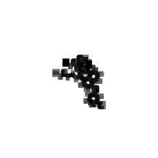 CCCCN(C(=O)OC(C)(C)C)c1ccc(Oc2ccnc(Cl)c2)c2ccccc12